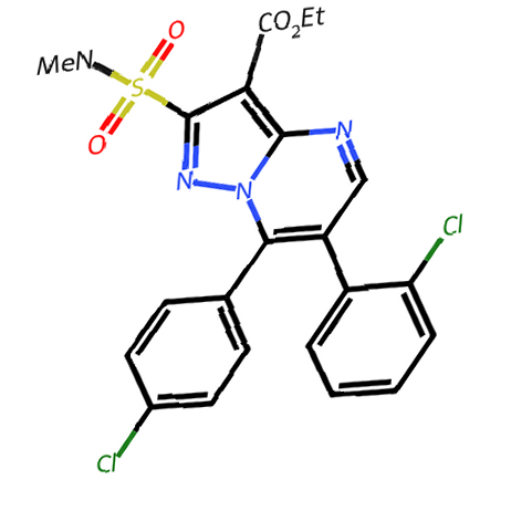 CCOC(=O)c1c(S(=O)(=O)NC)nn2c(-c3ccc(Cl)cc3)c(-c3ccccc3Cl)cnc12